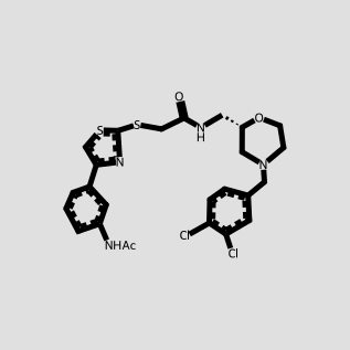 CC(=O)Nc1cccc(-c2csc(SCC(=O)NC[C@H]3CN(Cc4ccc(Cl)c(Cl)c4)CCO3)n2)c1